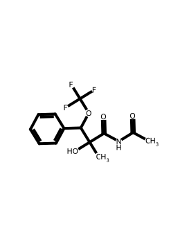 CC(=O)NC(=O)C(C)(O)C(OC(F)(F)F)c1ccccc1